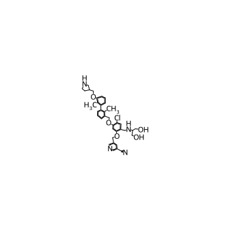 Cc1c(COc2cc(OCc3cncc(C#N)c3)c(CNC(CO)CO)cc2Cl)cccc1-c1cccc(OCC2CCNC2)c1C